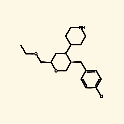 CCOC[C@H]1CN(C2CCNCC2)[C@@H](Cc2ccc(Cl)cc2)CO1